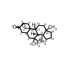 CC1(C)CC2CC(=O)CC[C@]2(C=O)[C@@H]2CC[C@]3(C)CCC[C@H]3[C@@H]21